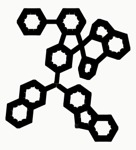 c1ccc(-c2cccc3c2-c2ccc(N(c4ccc5ccccc5c4)c4ccc5c(c4)oc4ccccc45)cc2C32c3ccccc3-c3cccc4cccc2c34)cc1